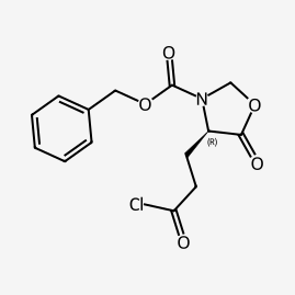 O=C(Cl)CC[C@@H]1C(=O)OCN1C(=O)OCc1ccccc1